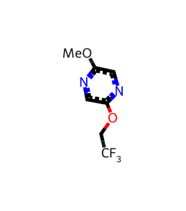 COc1cnc(OCC(F)(F)F)cn1